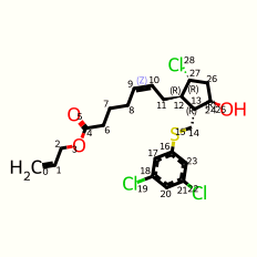 C=CCOC(=O)CCC/C=C\C[C@@H]1[C@@H](CSc2cc(Cl)cc(Cl)c2)[C@H](O)C[C@H]1Cl